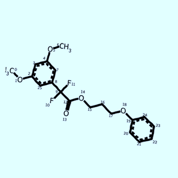 COc1cc(OC)cc(C(F)(F)C(=O)OCCCOc2ccccc2)c1